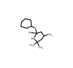 CCC1(OC2CCCCC2)CC(C)CC(C)(C)N1